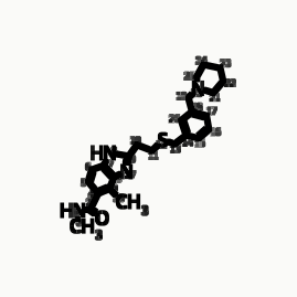 CNC(=O)c1ccc2[nH]c(CCSCc3cccc(CN4CCCCC4)c3)nc2c1C